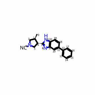 C[C@@H]1CN(C#N)C[C@H]1c1nc2cc(-c3ccccc3)ccc2[nH]1